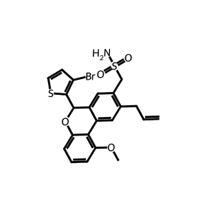 C=CCc1cc2c(cc1CS(N)(=O)=O)C(c1sccc1Br)Oc1cccc(OC)c1-2